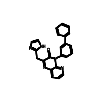 O=c1c(Cc2ncc[nH]2)nc2cccnc2n1-c1cccc(-c2ccccc2)c1